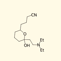 CCN(CC)CCC1(O)CCCC(CCCC#N)O1